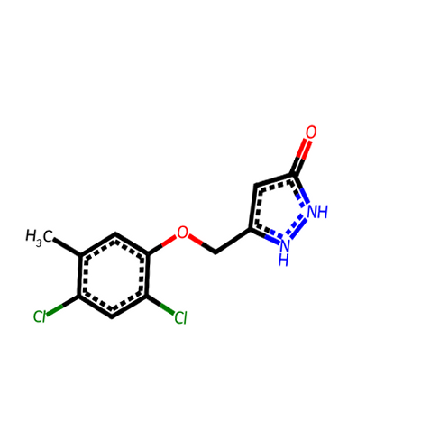 Cc1cc(OCc2cc(=O)[nH][nH]2)c(Cl)cc1Cl